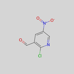 O=Cc1cc([N+](=O)[O-])cnc1Cl